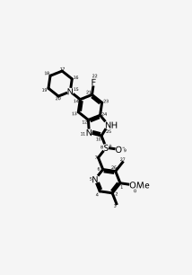 COc1c(C)cnc(C[S+]([O-])c2nc3cc(N4CCCCC4)c(F)cc3[nH]2)c1C